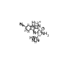 CC(C)Nc1c(C(N)=O)c(Cc2ncn[nH]2)nc2c1[nH]c1cc(C#N)ccc12